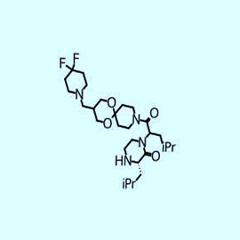 CC(C)CC(C(=O)N1CCC2(CC1)OCC(CN1CCC(F)(F)CC1)CO2)N1CCN[C@@H](CC(C)C)C1=O